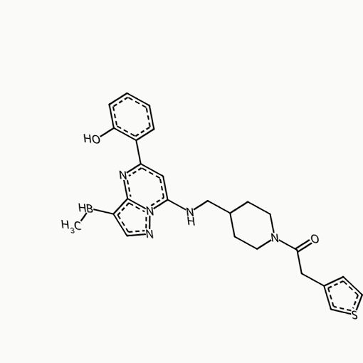 CBc1cnn2c(NCC3CCN(C(=O)Cc4ccsc4)CC3)cc(-c3ccccc3O)nc12